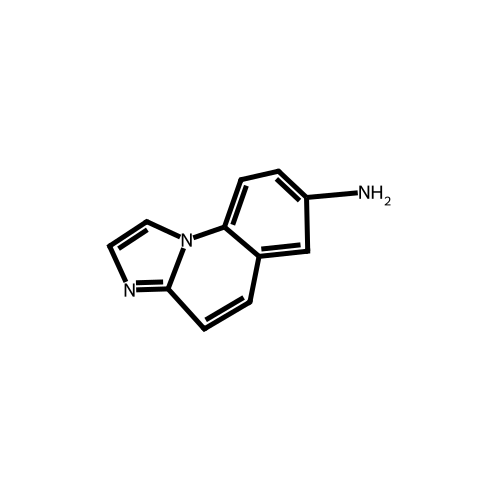 Nc1ccc2c(ccc3nccn32)c1